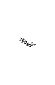 CCN(CC)S(=O)(=O)c1ccc(S(=O)(=O)[C@@H]2CCCN(C(=O)OC(C)(C)C)C2)cc1